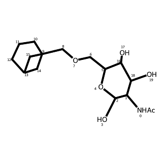 CC(=O)NC1C(O)OC(COCC23CCCC(C2)C3)C(O)C1O